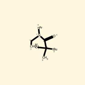 CCCN(CC=O)C(=O)C(C)(C)C(C)(C)C